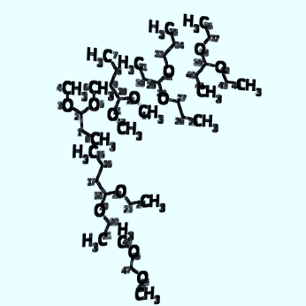 CCC(OC)OC.CCCC(OC)OC.CCCC(OCC)OCC.CCCOC(CC)OCCC.CCOC(CC)OCC.COCOC